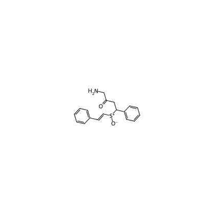 NCC(=O)CC(c1ccccc1)[S+]([O-])C=Cc1ccccc1